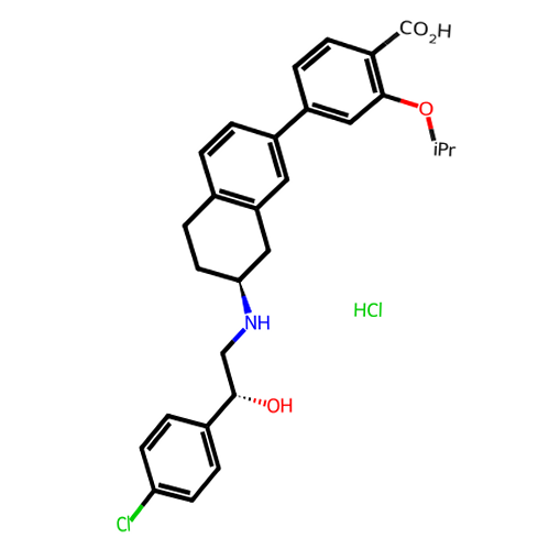 CC(C)Oc1cc(-c2ccc3c(c2)C[C@@H](NC[C@H](O)c2ccc(Cl)cc2)CC3)ccc1C(=O)O.Cl